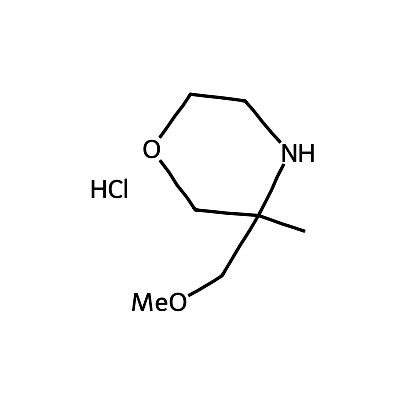 COCC1(C)COCCN1.Cl